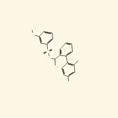 COc1cccc(S(=O)(=O)NC(C)c2ccccc2-c2ccc(Cl)cc2F)c1